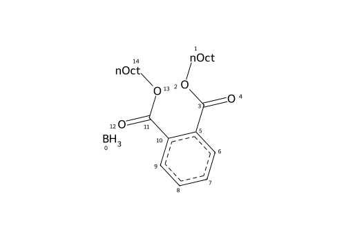 B.CCCCCCCCOC(=O)c1ccccc1C(=O)OCCCCCCCC